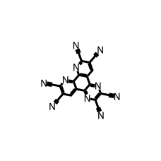 N#Cc1cc2c(nc1C#N)c1nc(C#N)c(C#N)cc1c1nc(C#N)c(C#N)nc21